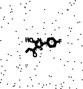 CCC(=O)c1sc(-c2ccc(F)cc2)nc1O